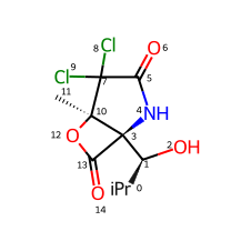 CC(C)[C@H](O)[C@@]12NC(=O)C(Cl)(Cl)[C@]1(C)OC2=O